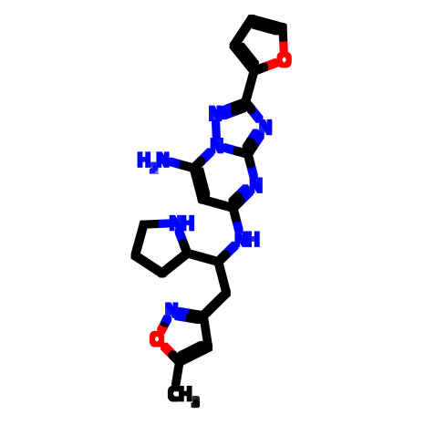 Cc1cc(CC(Nc2cc(N)n3nc(-c4ccco4)nc3n2)C2CCCN2)no1